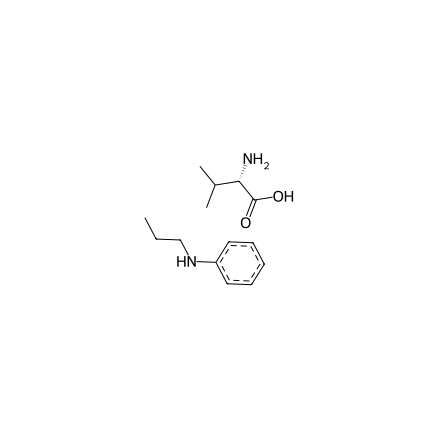 CC(C)[C@H](N)C(=O)O.CCCNc1ccccc1